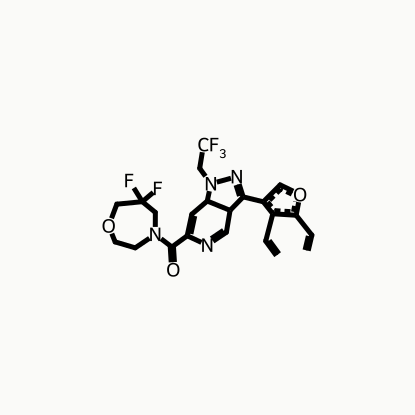 C=Cc1occ(C2=NN(CC(F)(F)F)C3C=C(C(=O)N4CCOCC(F)(F)C4)N=CC23)c1C=C